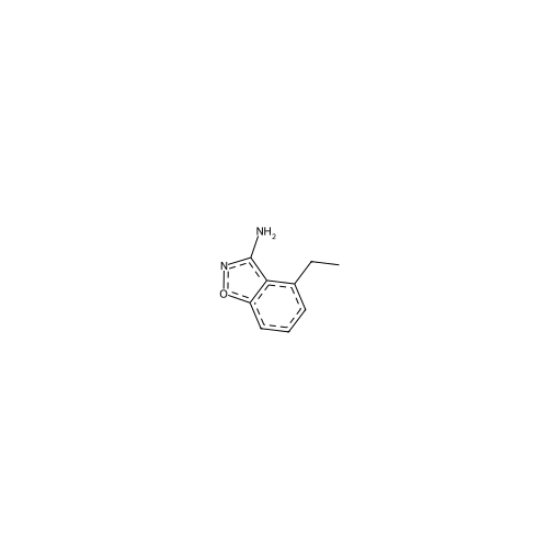 CCc1cccc2onc(N)c12